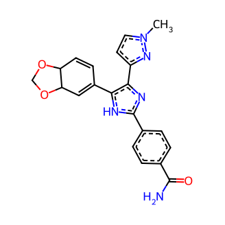 Cn1ccc(-c2nc(-c3ccc(C(N)=O)cc3)[nH]c2C2=CC3OCOC3C=C2)n1